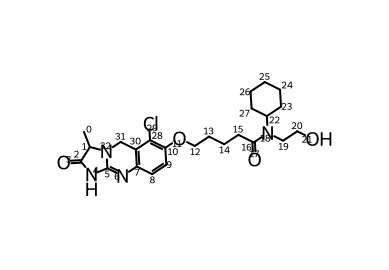 CC1C(=O)NC2=Nc3ccc(OCCCCC(=O)N(CCO)C4CCCCC4)c(Cl)c3CN21